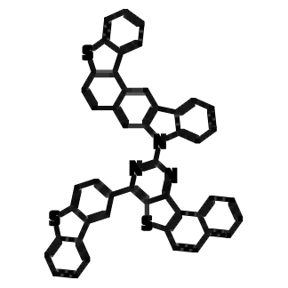 c1ccc2c(c1)ccc1sc3c(-c4ccc5sc6ccccc6c5c4)nc(-n4c5ccccc5c5cc6c(ccc7sc8ccccc8c76)cc54)nc3c12